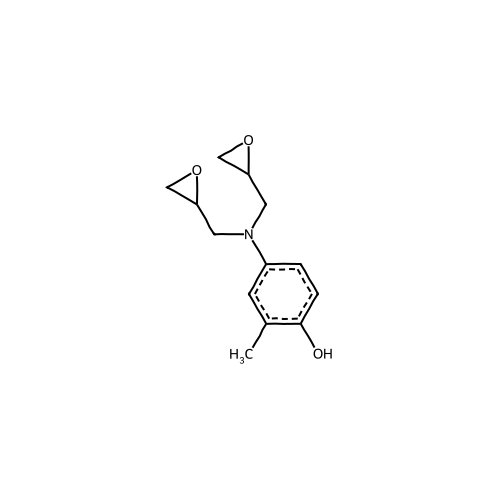 Cc1cc(N(CC2CO2)CC2CO2)ccc1O